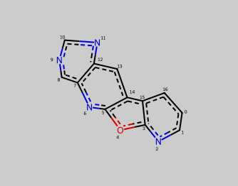 c1cnc2oc3nc4cncnc4cc3c2c1